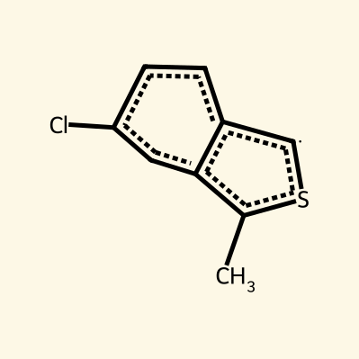 Cc1s[c]c2ccc(Cl)cc12